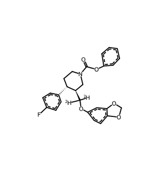 [2H]C([2H])(Oc1ccc2c(c1)OCO2)[C@@H]1CN(C(=O)Oc2ccccc2)CC[C@H]1c1ccc(F)cc1